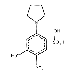 Cc1cc(N2CCCC2)ccc1N.O=S(=O)(O)O